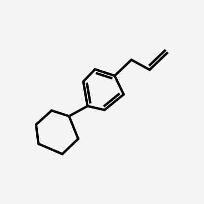 C=CCc1ccc(C2CCCCC2)cc1